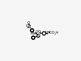 O=C(O)NCC1CCC(C(=O)N2CCC(c3ccccc3)C2C(=O)Nc2ccc(N3COC(=O)C3)cc2)CC1